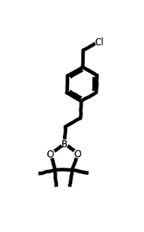 CC1(C)OB(CCc2ccc(CCl)cc2)OC1(C)C